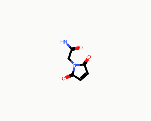 [NH]C(=O)[CH]N1C(=O)C=CC1=O